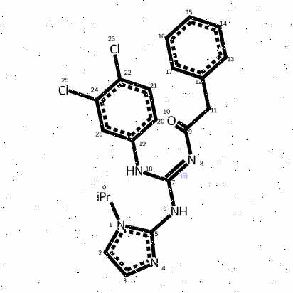 CC(C)n1ccnc1N/C(=N/C(=O)Cc1ccccc1)Nc1ccc(Cl)c(Cl)c1